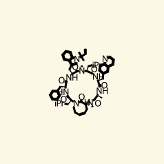 C=CC(C)(C)n1cc(C[C@@H]2NC(=O)[C@H](Cc3ccccc3)NC(=O)[C@H](CC(C)C)N3CC/C=C\C[C@@H](C3=O)N(C)C(=O)[C@H](C)NC(=O)[C@H](Cc3ccc4ncccc4c3)NC(=O)[C@H](CC(C)C)N(C)C2=O)c2ccccc21